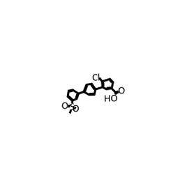 CS(=O)(=O)c1cccc(-c2ccc(-c3cc(C(=O)O)ccc3Cl)cc2)c1